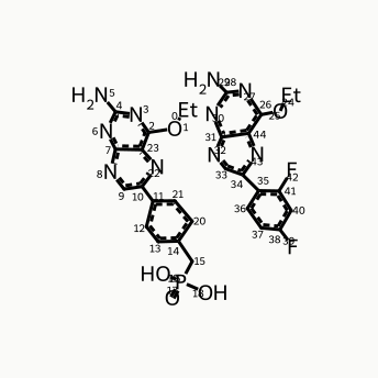 CCOc1nc(N)nc2ncc(-c3ccc(CP(=O)(O)O)cc3)nc12.CCOc1nc(N)nc2ncc(-c3ccc(F)cc3F)nc12